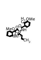 C=CCC(N(NC(=O)c1cccc(OC)c1C)C(=O)[C@@](OC)(c1ccccc1)C(F)(F)F)C(C)(C)C